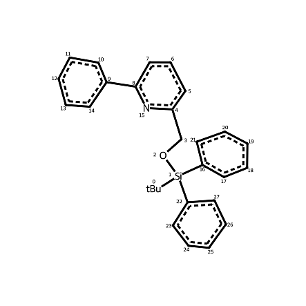 CC(C)(C)[Si](OCc1cccc(-c2ccccc2)n1)(c1ccccc1)c1ccccc1